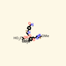 COc1cc(OCc2csc(-c3ccc(C(=O)N(C)C)cc3)n2)c2cc(-c3cn4nc(OC)sc4n3)oc2c1.O=C(O)CC(O)(CC(=O)O)C(=O)O